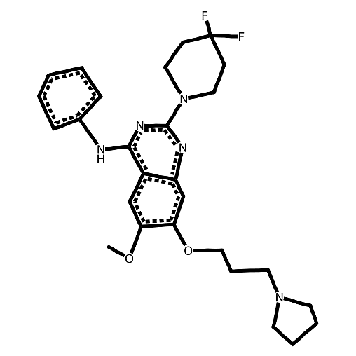 COc1cc2c(Nc3ccccc3)nc(N3CCC(F)(F)CC3)nc2cc1OCCCN1CCCC1